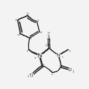 CN1C(=O)CC(=O)N(Cc2ccccc2)C1=S